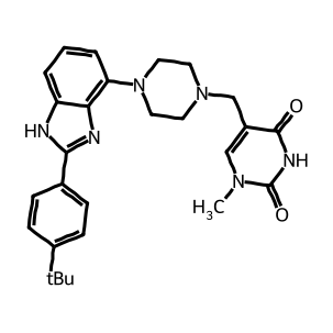 Cn1cc(CN2CCN(c3cccc4[nH]c(-c5ccc(C(C)(C)C)cc5)nc34)CC2)c(=O)[nH]c1=O